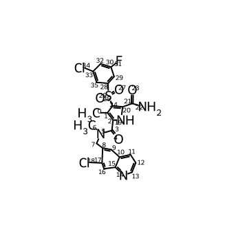 Cc1c(C(=O)N(C)Cc2cc3cccnc3cc2Cl)[nH]c(C(N)=O)c1S(=O)(=O)c1cc(F)cc(Cl)c1